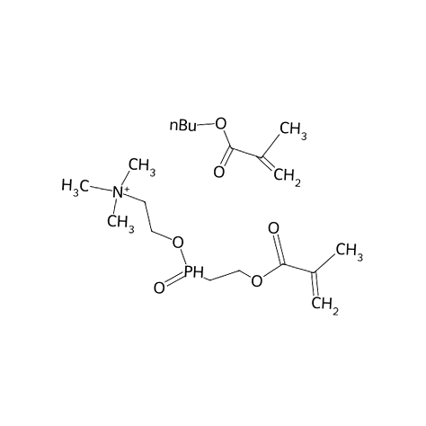 C=C(C)C(=O)OCCCC.C=C(C)C(=O)OCC[PH](=O)OCC[N+](C)(C)C